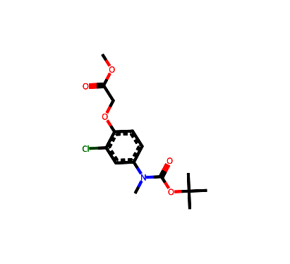 COC(=O)COc1ccc(N(C)C(=O)OC(C)(C)C)cc1Cl